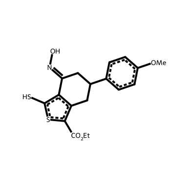 CCOC(=O)c1sc(S)c2c1CC(c1ccc(OC)cc1)C/C2=N\O